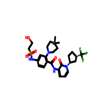 C[Si]1(C)CCN(c2cc(NS(=O)(=O)CCO)ccc2C(=O)Nc2cccn([C@@H]3CC[C@H](C(F)(F)F)C3)c2=O)CC1